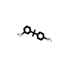 CC(C)(c1ccc(N)cc1)c1cccc(N)c1